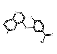 Cc1ccc(C(=O)O)cc1Nc1ccnc2ccc(F)cc12